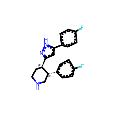 Fc1ccc(-c2cc([C@@H]3CCNC[C@H]3c3ccc(F)cc3)n[nH]2)cc1